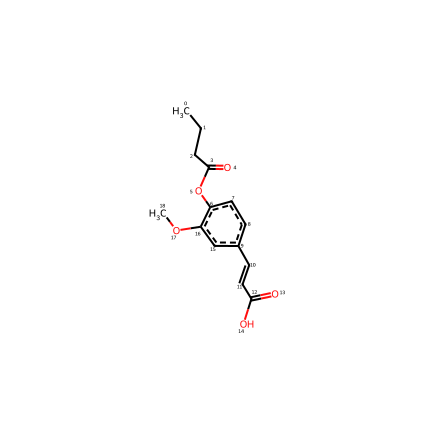 CCCC(=O)Oc1ccc(C=CC(=O)O)cc1OC